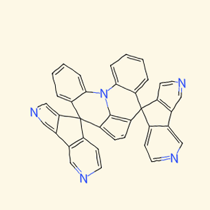 c1ccc2c(c1)N1c3ccccc3C3(c4ccncc4-c4cnccc43)c3cccc(c31)C21c2ccncc2-c2cnccc21